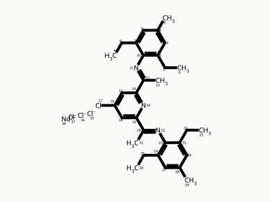 CCc1cc(C)cc(CC)c1N=C(C)c1cc(Cl)cc(C(C)=Nc2c(CC)cc(C)cc2CC)n1.[Cl-].[Cl-].[Cl-].[Nd+3]